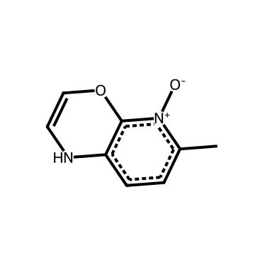 Cc1ccc2c([n+]1[O-])OC=CN2